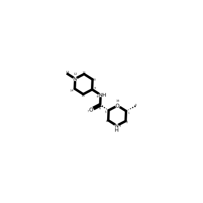 C[C@@H]1CNC[C@H](C(=O)NC2CCN(C)CC2)O1